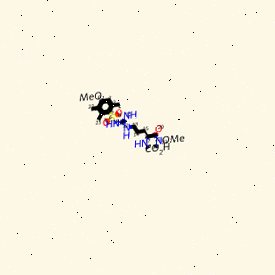 COc1cc(C)c(S(=O)(=O)NC(=N)NCCC[C@H](NC(=O)O)C(=O)N(C)OC)c(C)c1C